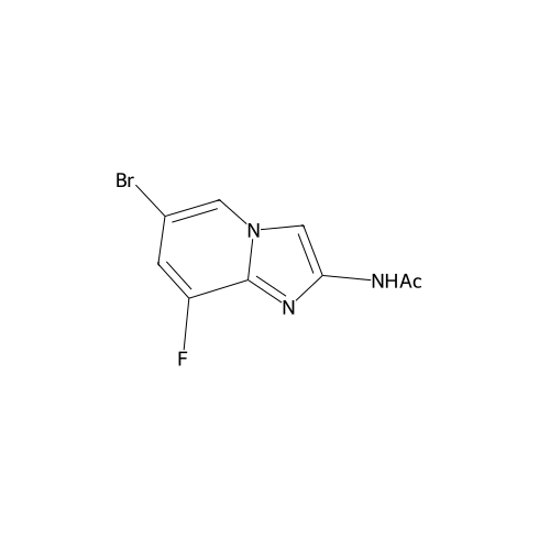 CC(=O)Nc1cn2cc(Br)cc(F)c2n1